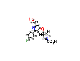 CC(C)(O)c1cc(OC2[C@H]3CN(C(=O)O)C[C@@H]23)cc(-c2ccc(F)cc2)n1